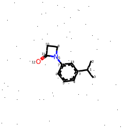 CC(C)c1cccc(N2CCC2=O)c1